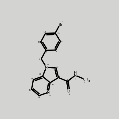 CNC(=O)c1cn(Cc2ccc(Br)cc2)c2cccnc12